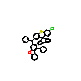 Clc1ccc2c(c1)Sc1ccc(C(c3ccccc3)c3cc(-c4ccccc4)c4c(c3)oc3ccccc34)cc1C21c2ccccc2-c2ccccc21